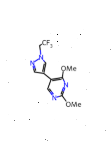 COc1ncc(-c2cnn(CC(F)(F)F)c2)c(OC)n1